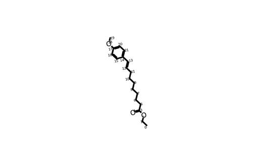 CCOC(=O)CCCCCCCC=Cc1ccc(OC)cc1